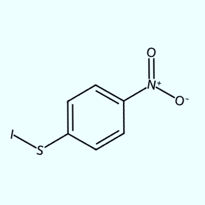 O=[N+]([O-])c1ccc(SI)cc1